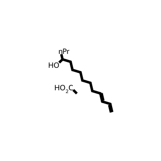 C=C/C=C/CCCCCCC(O)CCC.CC(=O)O